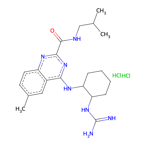 Cc1ccc2nc(C(=O)NCC(C)C)nc(NC3CCCCC3NC(=N)N)c2c1.Cl.Cl